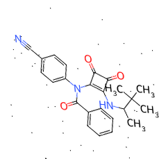 CC(Nc1c(N(C(=O)c2ccccc2)c2ccc(C#N)cc2)c(=O)c1=O)C(C)(C)C